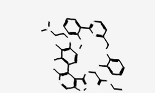 CCOC(=O)[C@@H](Cc1ccccc1OCc1ccnc(-c2ccccc2OC)n1)Oc1nsc2cnc(Cl)c(-c3ccc(OCCN(C)C)c(Cl)c3C)c12